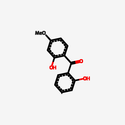 COc1ccc(C(=O)c2cc[c]cc2O)c(O)c1